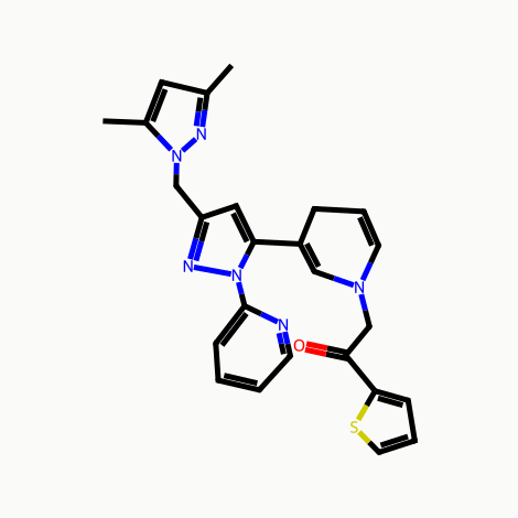 Cc1cc(C)n(Cc2cc(C3=CN(CC(=O)c4cccs4)C=CC3)n(-c3ccccn3)n2)n1